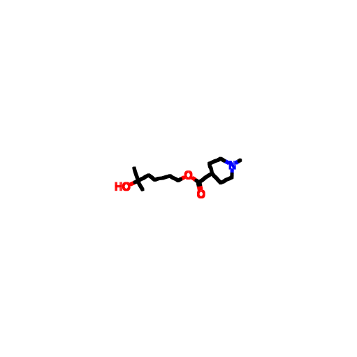 CN1CCC(C(=O)OCCCCC(C)(C)O)CC1